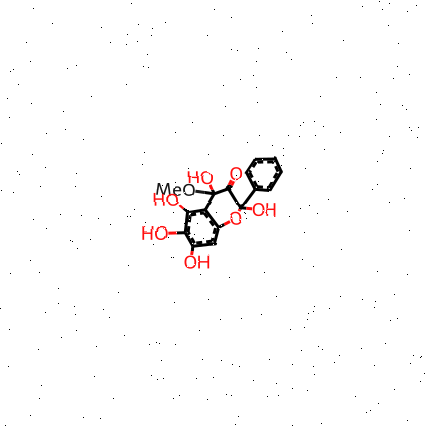 COC1(O)C(=O)C(O)(c2ccccc2)Oc2cc(O)c(O)c(O)c21